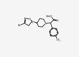 COC(=O)C(c1ccc(C(F)(F)F)cc1)N1CCC([C@H]2CC(Br)=NO2)CC1